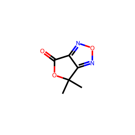 CC1(C)OC(=O)c2nonc21